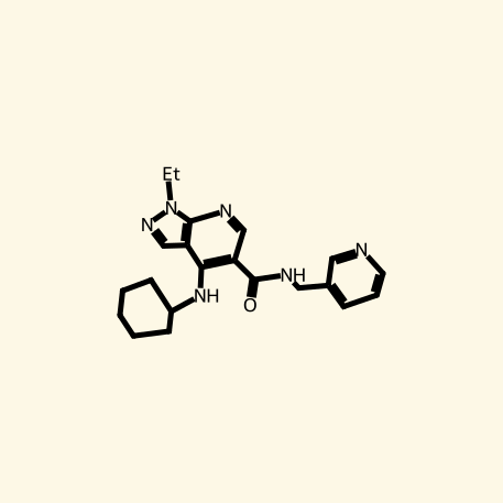 CCn1ncc2c(NC3CCCCC3)c(C(=O)NCc3cccnc3)cnc21